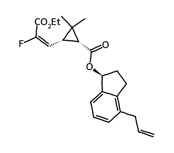 C=CCc1cccc2c1CC[C@@H]2OC(=O)[C@@H]1[C@H](/C=C(/F)C(=O)OCC)C1(C)C